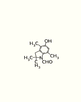 Cc1cc(O)c(C)c2c1N(C=O)C(C)(C)C2